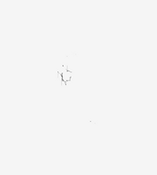 CC(C)CCCCCc1cn(CC(C)C)nn1